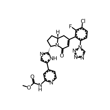 COC(=O)Nc1cc(-c2cnc([C@@H]3CC[C@@H]4CC(c5c(-n6cnnn6)ccc(Cl)c5F)=CC(=O)N43)[nH]2)ccn1